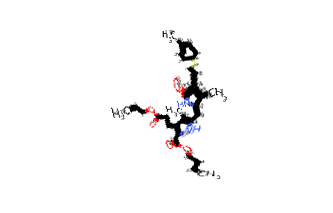 C=CCOC(=O)CCc1c(C(=O)OCCCC)[nH]c(/C=C2\NC(=O)C(CCSc3ccc(C)cc3)=C2C)c1C